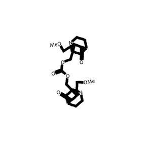 COCC1(COC(=O)OCC2(COC)C(=O)C3CCN2CC3)C(=O)C2CCN1CC2